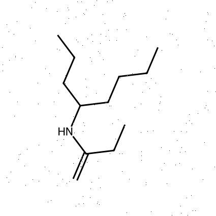 C=C(CC)NC(CCC)CCCC